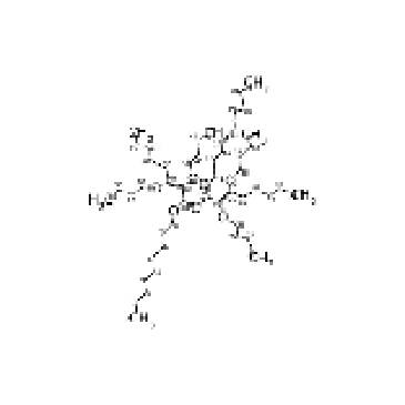 CCCCCCCCCOC(OC(OCCCCCCCCC)C(OCCCC)=C(CCCCC)OCCCC)C(OCCCC)=C(CCCCC)OCCCC